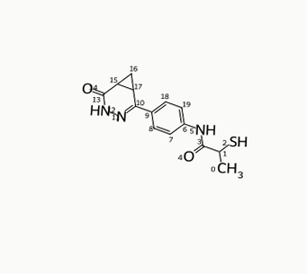 CC(S)C(=O)Nc1ccc(C2=NNC(=O)C3CC23)cc1